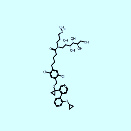 COCCCN(C[C@H](O)[C@@H](O)[C@H](O)[C@H](O)CO)C(=O)CCCCc1cc(Cl)c(COC2(c3cnccc3-c3ccccc3OC3CC3)CC2)cc1Cl